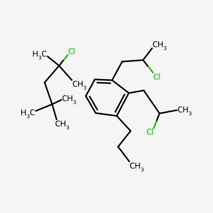 CC(C)(C)CC(C)(C)Cl.CCCc1cccc(CC(C)Cl)c1CC(C)Cl